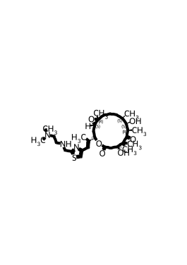 CC(=Cc1csc(CNCCN(C)C)n1)[C@@H]1C[C@@H]2O[C@]2(C)CCC[C@H](C)[C@H](O)[C@@H](C)C(=O)C(C)(C)[C@@H](O)CC(=O)O1